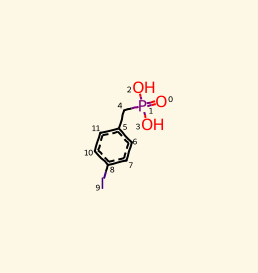 O=P(O)(O)Cc1ccc(I)cc1